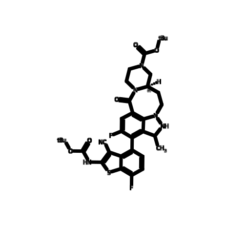 CC1NN2CC[C@@H]3CN(C(=O)OC(C)(C)C)CCN3C(=O)c3cc(F)c(-c4ccc(F)c5sc(NC(=O)OC(C)(C)C)c(C#N)c45)c1c32